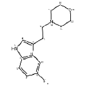 Fc1ccc2[nH]cc(CCN3CCOCC3)c2c1